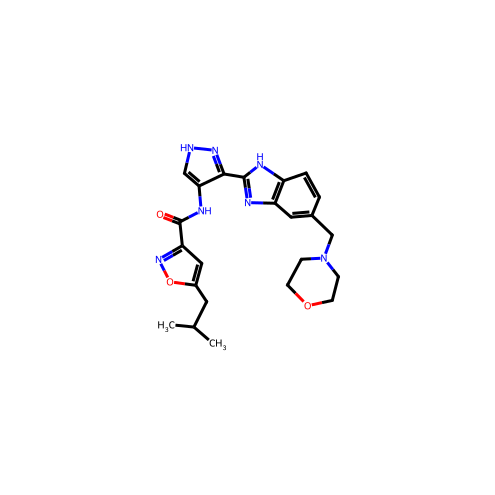 CC(C)Cc1cc(C(=O)Nc2c[nH]nc2-c2nc3cc(CN4CCOCC4)ccc3[nH]2)no1